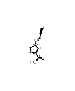 C#CCO[C@@H]1CCN(C(=O)O)C1